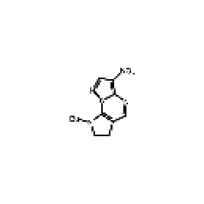 CCC(C)N1CCc2cnc3c([N+](=O)[O-])cnn3c21